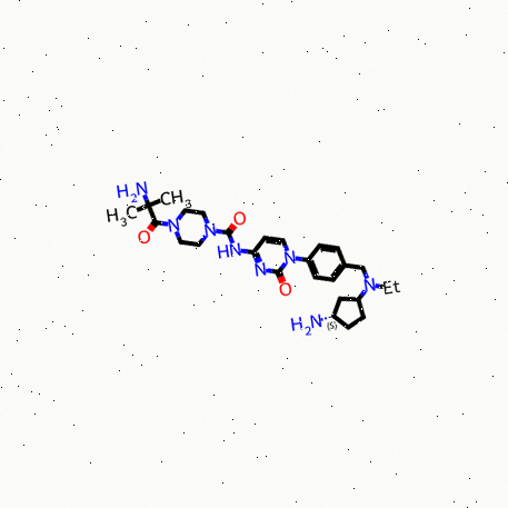 CCN(Cc1ccc(-n2ccc(NC(=O)N3CCN(C(=O)C(C)(C)N)CC3)nc2=O)cc1)C1CC[C@H](N)C1